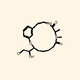 CC1C(=O)NCCc2cccc(c2)OC(C(O)CCl)CCCCC(=O)N1C